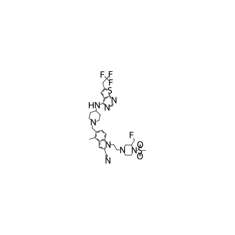 Cc1c(CN2CCC(Nc3ncnc4sc(CC(F)(F)F)cc34)CC2)ccc2c1cc(C#N)n2CCN1CCN(S(C)(=O)=O)C(CF)C1